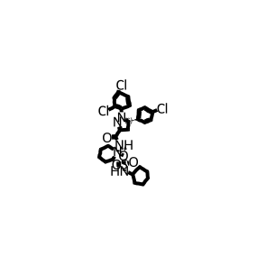 O=C(N[N+]1(OS(=O)(=O)NC2CCCCC2)CCCCC1)C1=NN(c2ccc(Cl)cc2Cl)[C@H](c2ccc(Cl)cc2)C1